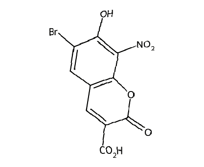 O=C(O)c1cc2cc(Br)c(O)c([N+](=O)[O-])c2oc1=O